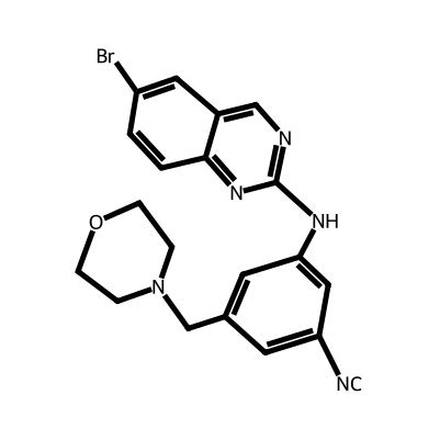 [C-]#[N+]c1cc(CN2CCOCC2)cc(Nc2ncc3cc(Br)ccc3n2)c1